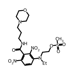 [CH2]CN(CCOS(C)(=O)=O)c1ccc([N+](=O)[O-])c(C(=O)NCCCN2CCOCC2)c1[N+](=O)[O-]